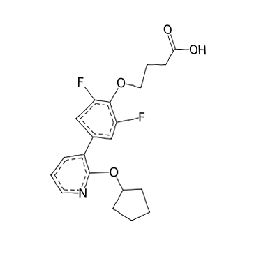 O=C(O)CCCOc1c(F)cc(-c2cccnc2OC2CCCC2)cc1F